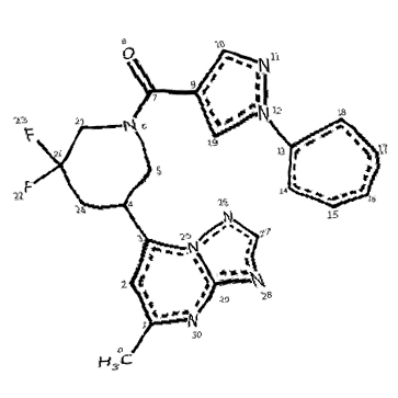 Cc1cc(C2CN(C(=O)c3cnn(-c4ccccc4)c3)CC(F)(F)C2)n2ncnc2n1